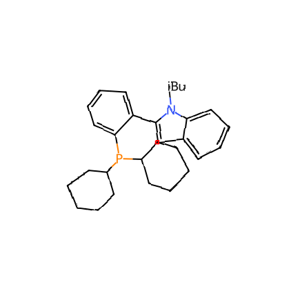 CCC(C)n1c(-c2ccccc2P(C2CCCCC2)C2CCCCC2)cc2ccccc21